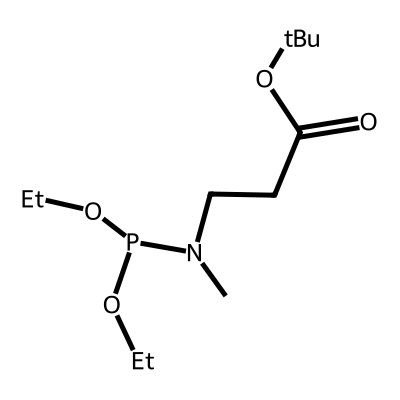 CCOP(OCC)N(C)CCC(=O)OC(C)(C)C